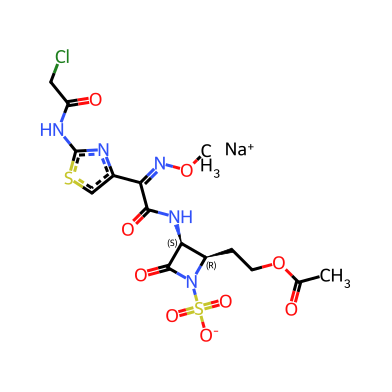 CON=C(C(=O)N[C@@H]1C(=O)N(S(=O)(=O)[O-])[C@@H]1CCOC(C)=O)c1csc(NC(=O)CCl)n1.[Na+]